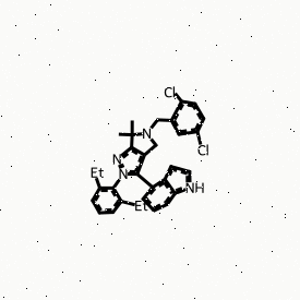 CCc1cccc(CC)c1-n1nc2c(c1-c1cccc3[nH]ccc13)CN(Cc1cc(Cl)ccc1Cl)C2(C)C